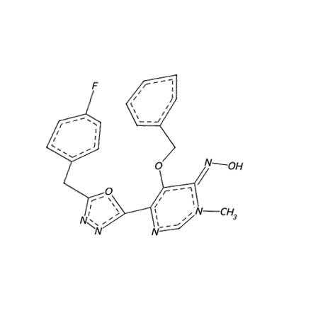 Cn1cnc(-c2nnc(Cc3ccc(F)cc3)o2)c(OCc2ccccc2)/c1=N/O